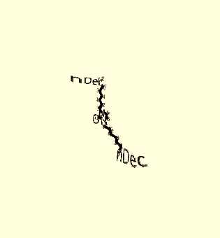 CCCCCCCCCCCCCCCCN1CCN(CCCCCCCCCCCCCCCC)C1=O